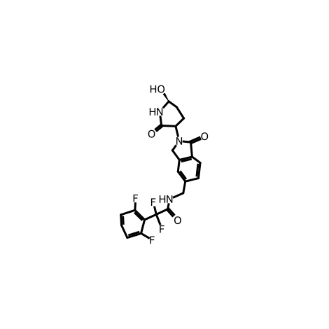 O=C1N[C@@H](O)CCC1N1Cc2cc(CNC(=O)C(F)(F)c3c(F)cccc3F)ccc2C1=O